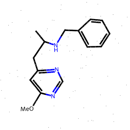 COc1cc(CC(C)NCc2ccccc2)ncn1